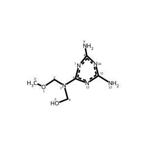 COCN(CO)c1nc(N)nc(N)n1